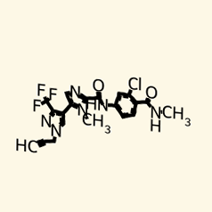 C#CCn1cc(-c2cnc(C(=O)Nc3ccc(C(=O)NC)c(Cl)c3)n2C)c(C(F)(F)F)n1